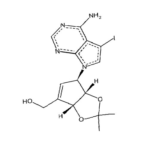 CC1(C)O[C@@H]2[C@H](O1)C(CO)=C[C@H]2n1cc(I)c2c(N)ncnc21